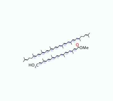 CC(C)=CCC/C(C)=C/C=C/C(C)=C/C=C/C(C)=C/C=C/C=C(C)/C=C/C=C(C)/C=C/C=C(\C)CCC=C(C)C.COC(=O)/C=C/C(C)=C/C=C/C(C)=C/C=C/C=C(C)/C=C/C=C(C)/C=C/C(=O)O